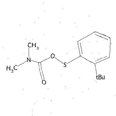 CN(C)C(=O)OSc1ccccc1C(C)(C)C